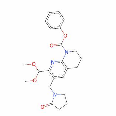 COC(OC)c1nc2c(cc1CN1CCCC1=O)CCCN2C(=O)Oc1ccccc1